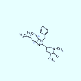 C=C/C=c1/nc(-c2cc(C)c(=O)n(C)c2)n(Cc2ccccc2)/c1=C/C